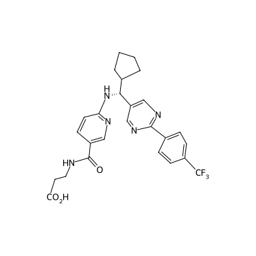 O=C(O)CCNC(=O)c1ccc(N[C@@H](c2cnc(-c3ccc(C(F)(F)F)cc3)nc2)C2CCCC2)nc1